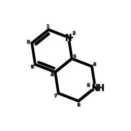 C1=C[N]C2CNCCC2=C1